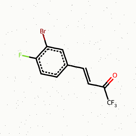 O=C(/C=C/c1ccc(F)c(Br)c1)C(F)(F)F